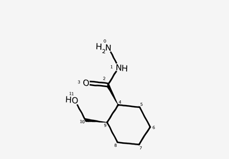 NNC(=O)[C@H]1CCCC[C@H]1CO